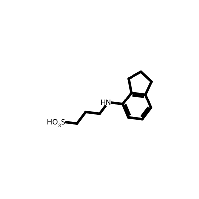 O=S(=O)(O)CCCNc1cccc2c1CCC2